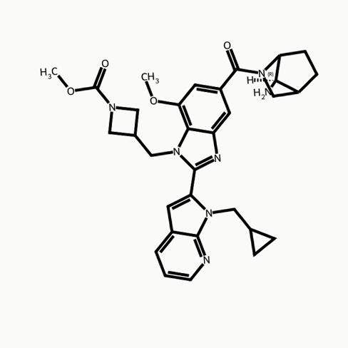 COC(=O)N1CC(Cn2c(-c3cc4cccnc4n3CC3CC3)nc3cc(C(=O)N4CC5CCC4[C@@H]5N)cc(OC)c32)C1